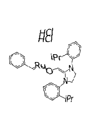 CC(C)c1ccccc1N1CCN(c2ccccc2C(C)C)C1=C[O][Ru]=[CH]c1ccccc1.Cl.Cl